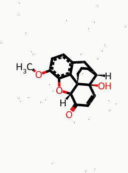 COc1ccc2c3c1O[C@H]1C(=O)C=C[C@@]4(O)[C@H](CCC[C@]314)C2